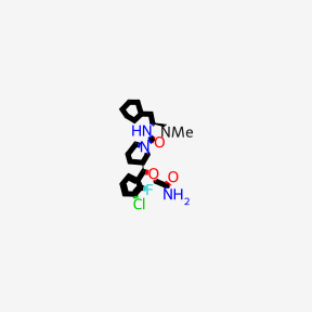 CNC[C@H](CC1CCCCC1)NC(=O)N1CCC[C@@H](C(OCC(N)=O)c2cccc(Cl)c2F)C1